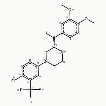 COc1ccc(C(C)[C@@H]2CN(c3ccc(Cl)c(C(F)(F)F)c3)CCN2)cc1OC